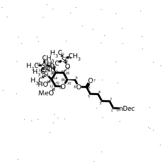 CCCCCCCCCCCCCCCC(=O)OC[C@H]1O[C@H](OC)[C@@](O)([Si](C)(C)C)[C@@H](O[Si](C)(C)C)[C@@H]1O[Si](C)(C)C